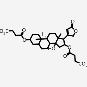 CC12CCC(OC(=O)CCC(=O)O)CC1CCC1[C@@H]2CCC2(C)C(C3=CC(=O)OC3)C(OC(=O)CCC(=O)O)CC12O